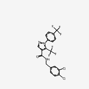 O=C(NCc1ccc(Cl)c(Cl)c1)c1cnn(-c2ccc(C(F)(F)F)cc2)c1C(F)(F)F